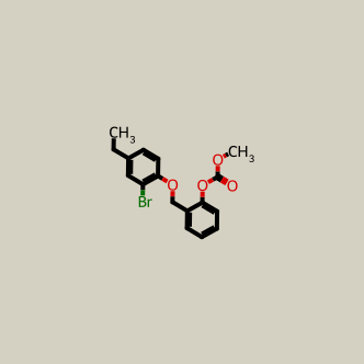 CCc1ccc(OCc2ccccc2OC(=O)OC)c(Br)c1